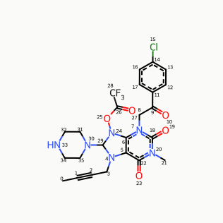 CC#CCN1c2c(n(CC(=O)c3ccc(Cl)cc3)c(=O)n(C)c2=O)N(OC(=O)C(F)(F)F)C1N1CCNCC1